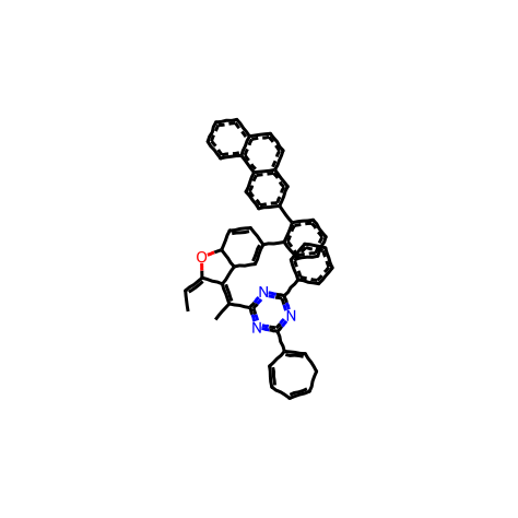 C/C=C1/OC2C=CC(c3ccccc3-c3ccc4c(ccc5ccccc54)c3)=CC2/C1=C(/C)c1nc(C2=CCC=CC=C2)nc(-c2ccccc2)n1